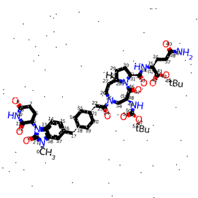 Cn1c(=O)n(C2CCC(=O)NC2=O)c2ccc(C[C@H]3CC[C@@H](CC(=O)N4CC[C@H]5CC[C@@H](C(=O)N[C@@H](CCC(N)=O)C(=O)OC(C)(C)C)N5C(=O)[C@@H](NC(=O)OC(C)(C)C)C4)CC3)cc21